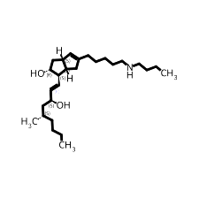 CCCCNCCCCCC1=C[C@H]2C[C@@H](O)[C@H](/C=C/[C@@H](O)C[C@@H](C)CCCC)[C@H]2C1